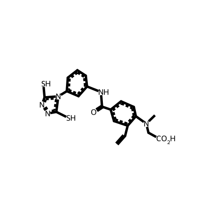 C=Cc1cc(C(=O)Nc2cccc(-n3c(S)nnc3S)c2)ccc1N(C)CC(=O)O